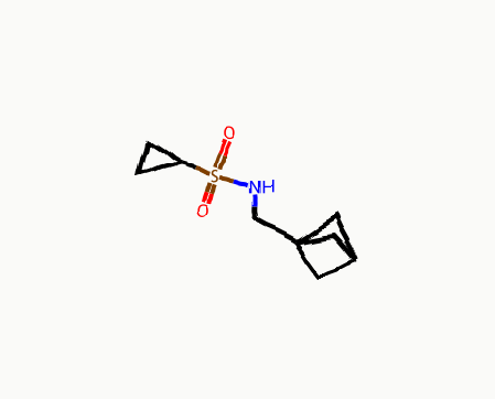 O=S(=O)(NCC12CC(C1)C2)C1CC1